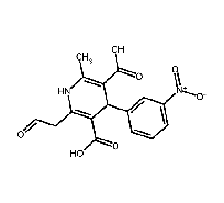 CC1=C(C(=O)O)C(c2cccc([N+](=O)[O-])c2)C(C(=O)O)=C(CC=O)N1